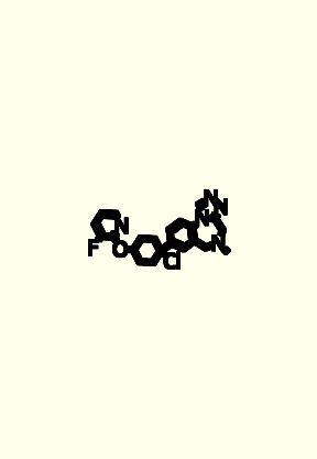 CN1Cc2cc(C3(Cl)CCC(Oc4ncccc4F)CC3)ccc2-n2cnnc2C1